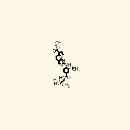 CCOC(=O)c1ccn2c1CCc1cnc(Nc3ccc(C(=O)NCC(C)(C)O)cc3OC)nc1-2